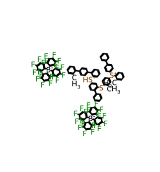 Cc1cc([S+](c2ccc(-c3ccccc3)cc2)c2ccccc2C)ccc1Sc1cc([SH+]c2ccccc2-c2ccc(-c3ccccc3C)cc2)ccc1-c1ccccc1.Fc1c(F)c(F)c([B-](c2c(F)c(F)c(F)c(F)c2F)(c2c(F)c(F)c(F)c(F)c2F)c2c(F)c(F)c(F)c(F)c2F)c(F)c1F.Fc1c(F)c(F)c([B-](c2c(F)c(F)c(F)c(F)c2F)(c2c(F)c(F)c(F)c(F)c2F)c2c(F)c(F)c(F)c(F)c2F)c(F)c1F